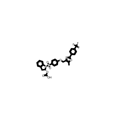 Cc1oc(-c2ccc(C(F)(F)F)cc2)nc1COc1ccc(S(=O)(=O)N2c3ccccc3C[C@H]2OC(=O)O)cc1